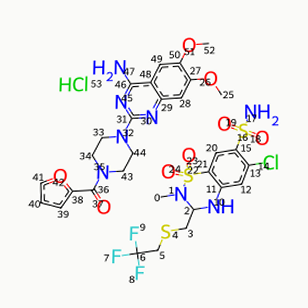 CN1C(CSCC(F)(F)F)Nc2cc(Cl)c(S(N)(=O)=O)cc2S1(=O)=O.COc1cc2nc(N3CCN(C(=O)c4ccco4)CC3)nc(N)c2cc1OC.Cl